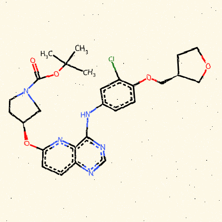 CC(C)(C)OC(=O)N1CC[C@H](Oc2ccc3ncnc(Nc4ccc(OC[C@H]5CCOC5)c(Cl)c4)c3n2)C1